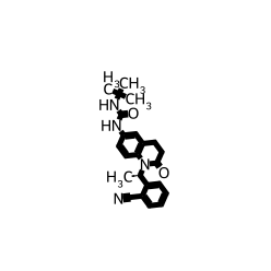 C[C@@H](c1ccccc1C#N)N1C(=O)CCc2cc(NC(=O)NC(C)(C)C)ccc21